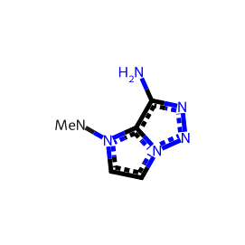 CNn1ccn2nnc(N)c12